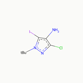 CC(C)(C)n1nc(Cl)c(N)c1I